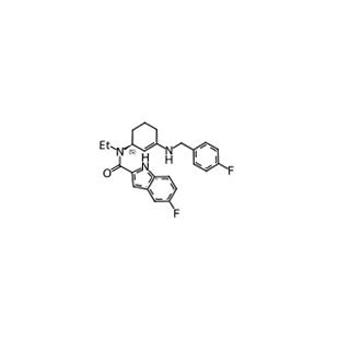 CCN(C(=O)c1cc2cc(F)ccc2[nH]1)[C@@H]1C=C(NCc2ccc(F)cc2)CCC1